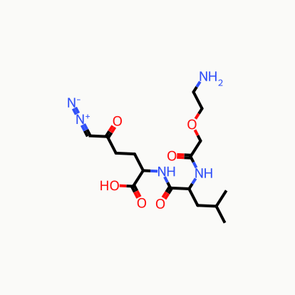 CC(C)CC(NC(=O)COCCN)C(=O)NC(CCC(=O)C=[N+]=[N-])C(=O)O